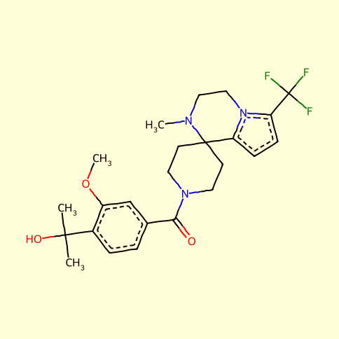 COc1cc(C(=O)N2CCC3(CC2)c2ccc(C(F)(F)F)n2CCN3C)ccc1C(C)(C)O